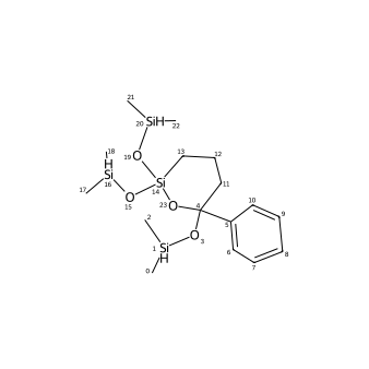 C[SiH](C)OC1(c2ccccc2)CCC[Si](O[SiH](C)C)(O[SiH](C)C)O1